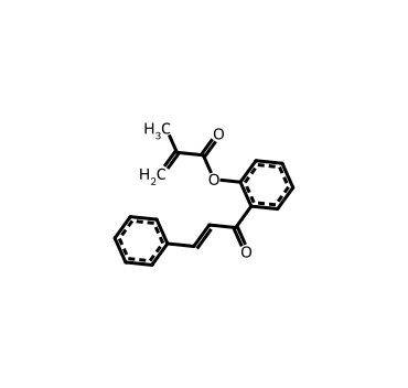 C=C(C)C(=O)Oc1ccccc1C(=O)/C=C/c1ccccc1